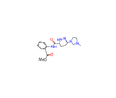 COC(=O)c1ccccc1NC(=O)C1CCC(N2CCN(C)C2)=NN1